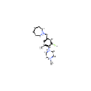 CCc1cc(CN2CCCCCC2)cc(F)c1N1CCN(CC)CC1